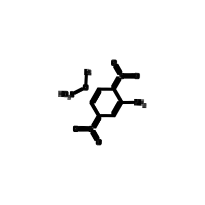 CCOS(=O)(=O)O.NC1=CC(=S(=O)=O)C=CC1=S(=O)=O